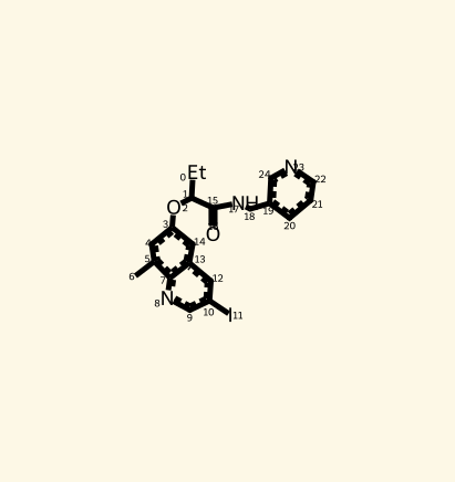 CCC(Oc1cc(C)c2ncc(I)cc2c1)C(=O)NCc1cccnc1